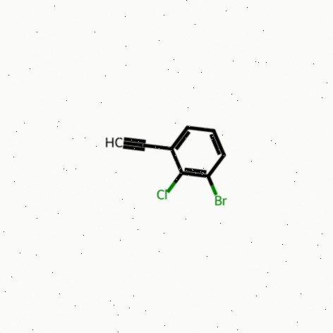 C#Cc1cccc(Br)c1Cl